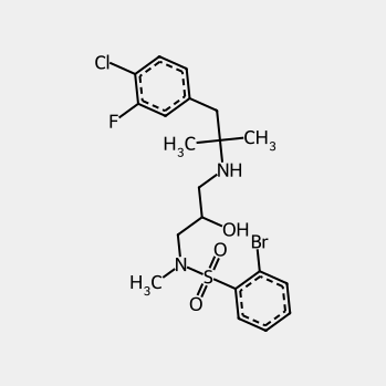 CN(CC(O)CNC(C)(C)Cc1ccc(Cl)c(F)c1)S(=O)(=O)c1ccccc1Br